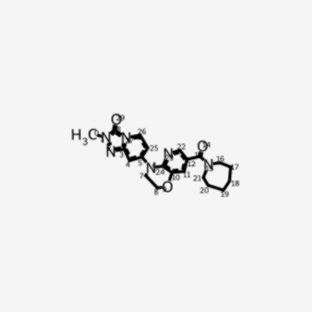 Cn1nc2cc(N3CCOc4cc(C(=O)N5CCCCCC5)cnc43)ccn2c1=O